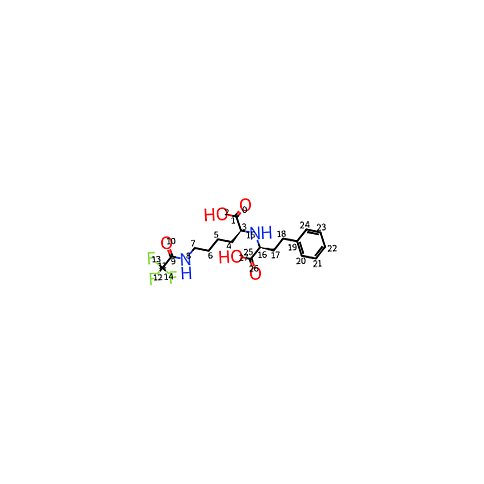 O=C(O)[C@H](CCCCNC(=O)C(F)(F)F)N[C@@H](CCc1ccccc1)C(=O)O